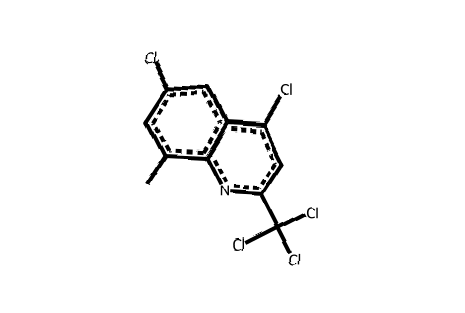 Cc1cc(Cl)cc2c(Cl)cc(C(Cl)(Cl)Cl)nc12